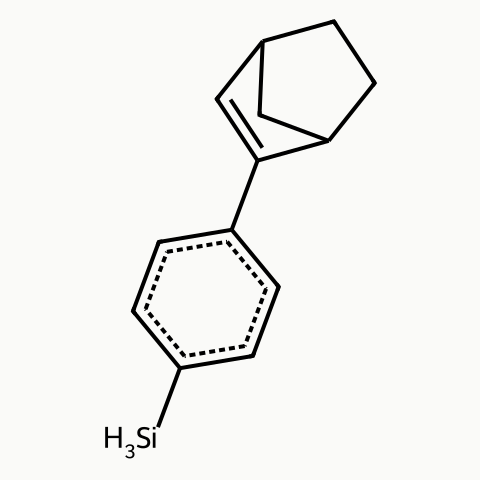 [SiH3]c1ccc(C2=CC3CCC2C3)cc1